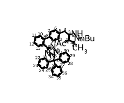 CCCCN1NC(Cc2ccc(-c3ccccc3-c3nnn(C(c4ccccc4)(c4ccccc4)c4ccccc4)n3)cc2)=C(C(C)=O)C1C